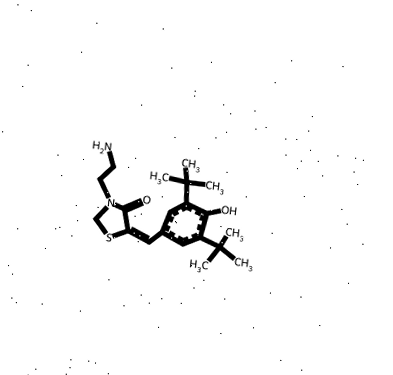 CC(C)(C)c1cc(C=C2SCN(CCN)C2=O)cc(C(C)(C)C)c1O